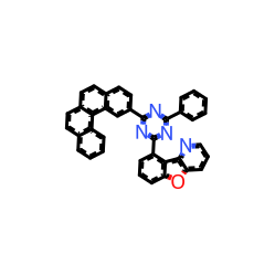 c1ccc(-c2nc(-c3ccc4ccc5ccc6ccccc6c5c4c3)nc(-c3cccc4oc5cccnc5c34)n2)cc1